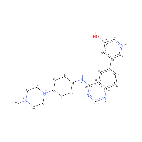 CN1CCN(C2CCC(Nc3ncnc4ccc(-c5cncc(O)c5)cc34)CC2)CC1